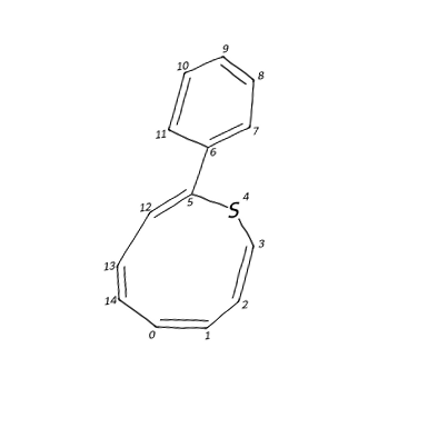 c1cccsc(-c2ccccc2)ccc1